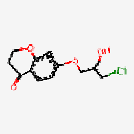 O=C1CCOc2cc(OCC(O)CCl)ccc21